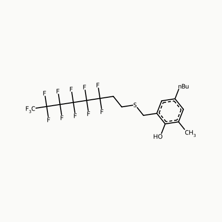 CCCCc1cc(C)c(O)c(CSCCC(F)(F)C(F)(F)C(F)(F)C(F)(F)C(F)(F)C(F)(F)F)c1